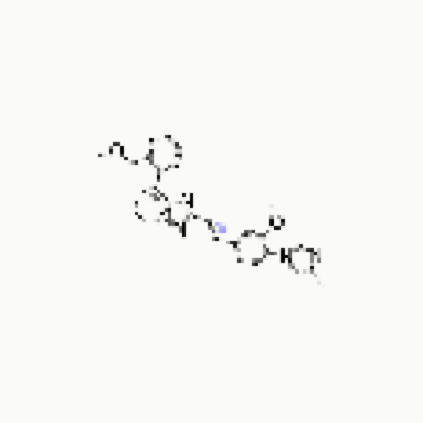 COCc1ccccc1[C@@H]1CCCn2nc(/C=C/c3ccc(-n4cnc(C)c4)c(OC)c3)nc21